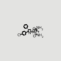 C[C@H](C(N)=O)N(C(N)=O)[C@](C)(N)N1C[C@@H](c2ccccc2)C(c2ccc(Cl)cc2)=N1